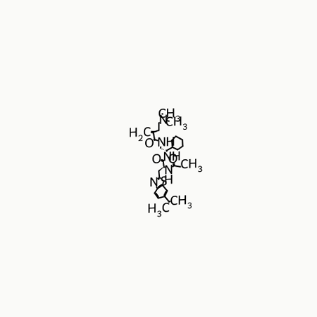 C=C(CCN(C)C)C(=O)NC[C@@H](NC(=O)[C@H](Cc1nc2ccc(C(C)C)cc2s1)NC(=O)CC)C1CCCCC1